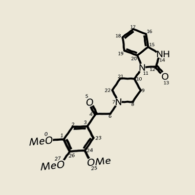 COc1cc(C(=O)CN2CCC(n3c(=O)[nH]c4ccccc43)CC2)cc(OC)c1OC